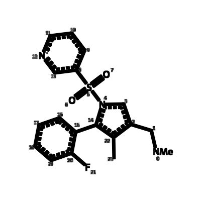 CNCc1cn(S(=O)(=O)c2cccnc2)c(-c2ccccc2F)c1C